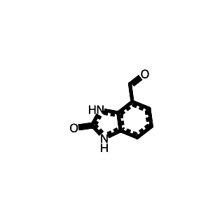 O=Cc1cccc2[nH]c(=O)[nH]c12